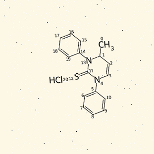 CC1C=CN(c2ccccc2)C(=S)N1c1ccccc1.Cl